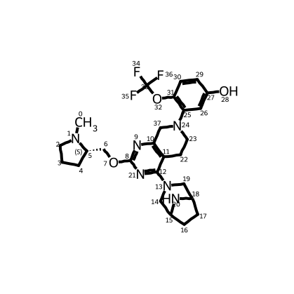 CN1CCC[C@H]1COc1nc2c(c(N3CC4CCC(C3)N4)n1)CCN(c1cc(O)ccc1OC(F)(F)F)C2